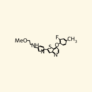 COCCNCc1ccc(-c2cc3nccc(Oc4ccc(C)cc4F)c3s2)nc1